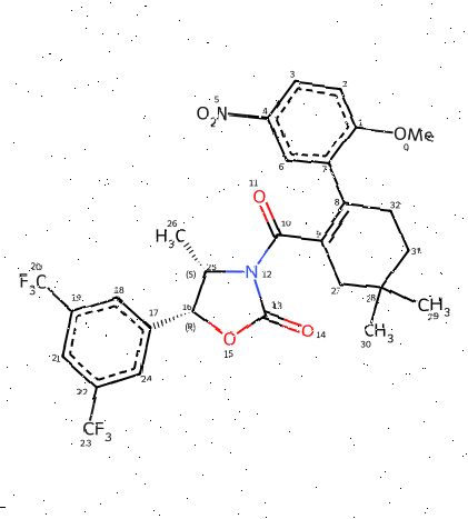 COc1ccc([N+](=O)[O-])cc1C1=C(C(=O)N2C(=O)O[C@H](c3cc(C(F)(F)F)cc(C(F)(F)F)c3)[C@@H]2C)CC(C)(C)CC1